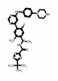 Cc1cc(-c2cc(Nc3ccc(N4CCNCC4)cc3)ncn2)c(F)cc1[C@@H](C)NC(=O)c1nc(C(C)(C)C)no1